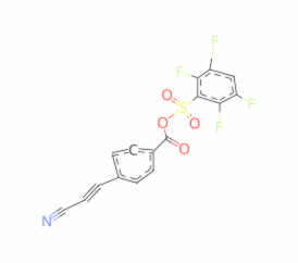 N#CC#Cc1ccc(C(=O)OS(=O)(=O)c2c(F)c(F)cc(F)c2F)cc1